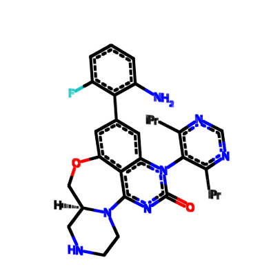 CC(C)c1ncnc(C(C)C)c1-n1c(=O)nc2c3c(cc(-c4c(N)cccc4F)cc31)OC[C@@H]1CNCCN21